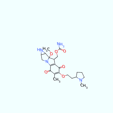 COC12C(COC(N)=O)C3=C(C(=O)C(C)=C(OCCC4CCCN4C)C3=O)N1CC1NC12